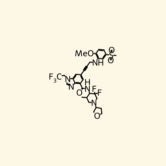 COc1ccc(S(C)(=O)=O)cc1NCC#Cc1cc(C(=O)NC2C(C)CN(C3CCOC3)CC2(F)F)c2ncn(CC(F)(F)F)c2c1